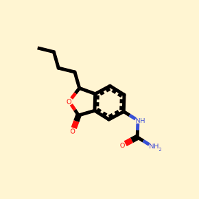 CCCCC1OC(=O)c2cc(NC(N)=O)ccc21